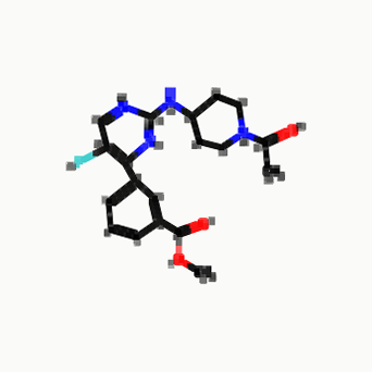 COC(=O)c1cccc(-c2nc(NC3CCN(C(C)=O)CC3)ncc2F)c1